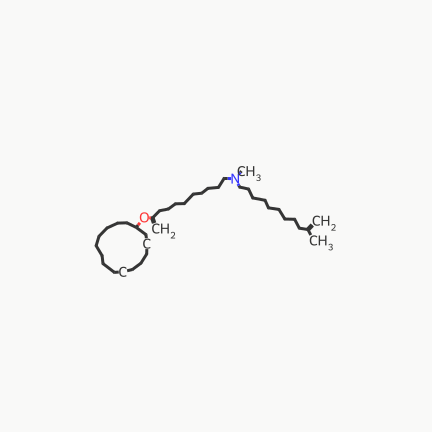 C=C(C)CCCCCCCCCN(C)CCCCCCCCCC(=C)OC1CCCCCCCCCCCCCC1